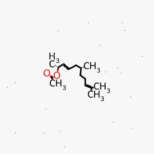 CC(=O)O[C@H](C)/C=C/C[C@H](C)CCC=C(C)C